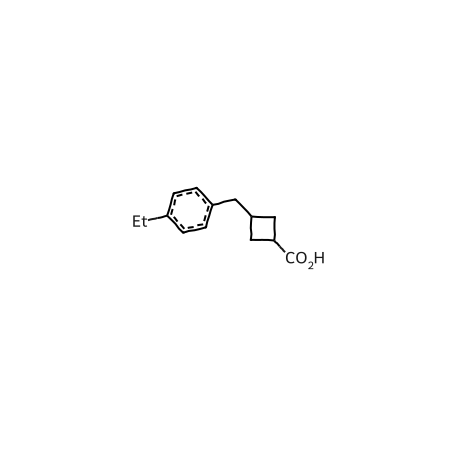 CCc1ccc(CC2CC(C(=O)O)C2)cc1